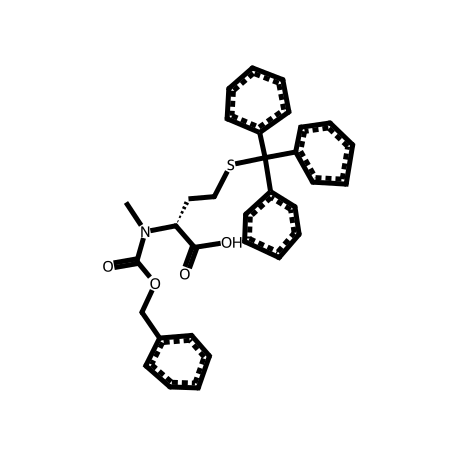 CN(C(=O)OCc1ccccc1)[C@H](CCSC(c1ccccc1)(c1ccccc1)c1ccccc1)C(=O)O